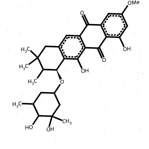 COc1cc(O)c2c(c1)C(=O)c1cc3c(c(O)c1C2=O)[C@@H](OC1CC(C)C(O)C(C)(O)C1)C(C)C(C)(C)C3